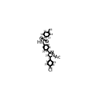 CC(=O)N1N=C(c2ccc(NS(=O)(=O)c3ccc(C)cc3)cc2)CC1c1ccc(Cl)cc1